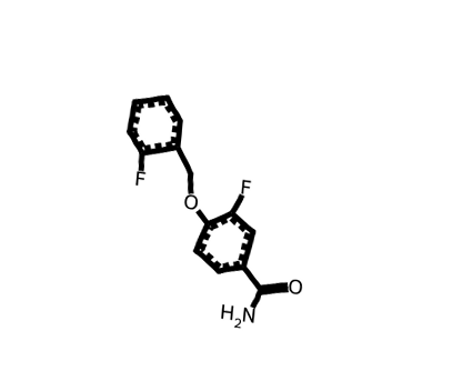 NC(=O)c1ccc(OCc2ccccc2F)c(F)c1